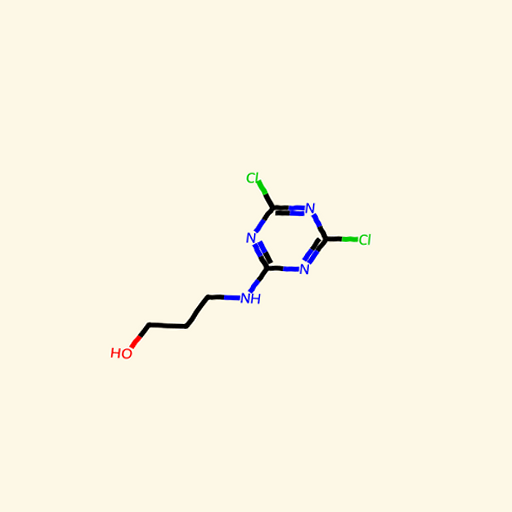 OCCCNc1nc(Cl)nc(Cl)n1